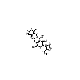 Cc1cc(C)c(CN2CCc3c(Br)cc(-c4c(C)noc4CO)c(Cl)c3C2=O)c(=O)[nH]1